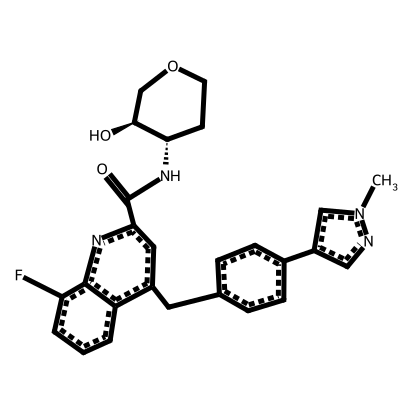 Cn1cc(-c2ccc(Cc3cc(C(=O)N[C@H]4CCOC[C@@H]4O)nc4c(F)cccc34)cc2)cn1